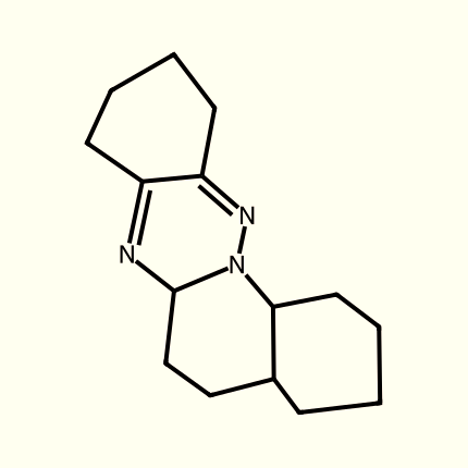 C1CCC2=NN3C(CCC4CCCCC43)N=C2C1